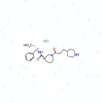 Cl.O=C(O)C[C@H](NC(=O)[C@@H]1CCCN(C(=O)CCC2CCNCC2)C1)c1ccccc1